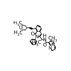 Cc1nn2cccnc2c1C(=O)N[C@H](C)c1cc2cccc(C#CC3CC(C)OC(C)C3)c2c(=O)n1-c1ccccc1